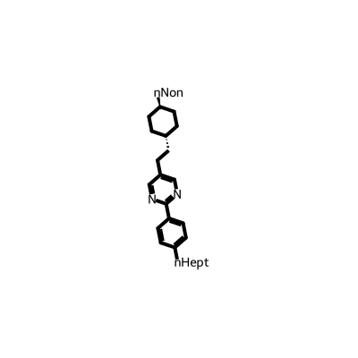 CCCCCCCCC[C@H]1CC[C@H](CCc2cnc(-c3ccc(CCCCCCC)cc3)nc2)CC1